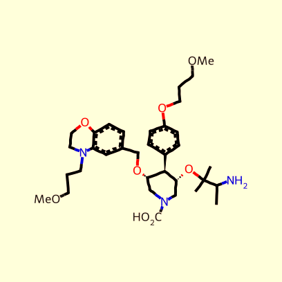 COCCCOc1ccc([C@@H]2[C@@H](OCc3ccc4c(c3)N(CCCOC)CCO4)CN(C(=O)O)C[C@H]2OC(C)(C)C(C)N)cc1